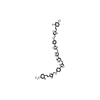 Fc1cc(Cl)ccc1C=Cc1nc(COc2ccc(-c3nc(Cn4cc(-c5cn(Cc6coc(-c7ccc(OCc8coc(C=Cc9ccc(C(F)(F)F)cc9F)n8)cc7)n6)nn5)nn4)co3)cc2)co1